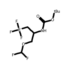 CC(C)(C)OC(=O)NC(COC(F)F)C[B-](F)(F)F